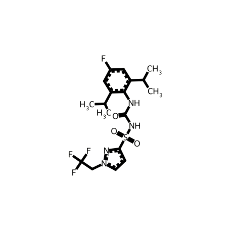 CC(C)c1cc(F)cc(C(C)C)c1NC(=O)NS(=O)(=O)c1ccn(CC(F)(F)F)n1